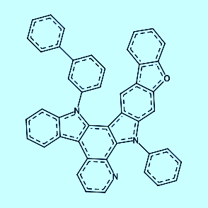 c1ccc(-c2cccc(-n3c4ccccc4c4c5cccnc5c5c(c6cc7c(cc6n5-c5ccccc5)oc5ccccc57)c43)c2)cc1